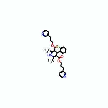 CC1=C(C(=O)OCCCc2cccnc2)C(c2ccccc2Cl)C(C(=O)OCCCc2cccnc2)=C(C)N1